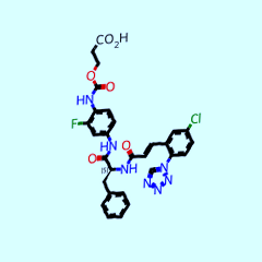 O=C(O)CCOC(=O)Nc1ccc(NC(=O)[C@H](Cc2ccccc2)NC(=O)C=Cc2cc(Cl)ccc2-n2cnnn2)cc1F